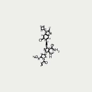 C=CC(=O)N1C[C@@H](n2nc(C#Cc3cc4nc(C)n(C5CCC5)c4cc3Cl)c(C(N)=O)c2NC)C[C@@H]1COC